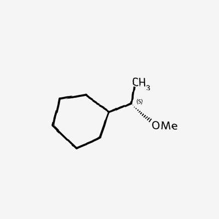 CO[C@@H](C)C1CCCCC1